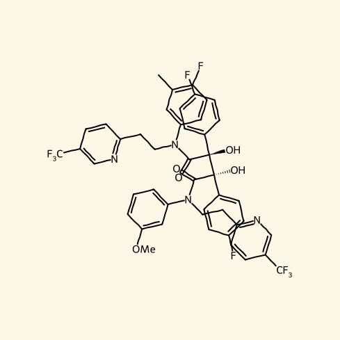 COc1cccc(N(CCc2ccc(C(F)(F)F)cn2)C(=O)[C@](O)(c2ccc(F)cc2)[C@](O)(C(=O)N(CCc2ccc(C(F)(F)F)cn2)c2ccc(F)c(C)c2)c2ccc(F)cc2)c1